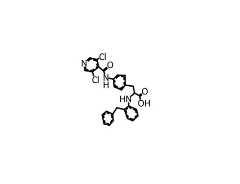 O=C(Nc1ccc(CC(Nc2ccccc2Cc2ccccc2)C(=O)O)cc1)c1c(Cl)cncc1Cl